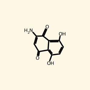 NC1=CC(=O)c2c(O)ccc(O)c2C1=O